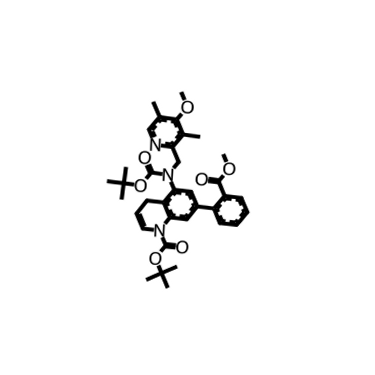 COC(=O)c1ccccc1-c1cc2c(c(N(Cc3ncc(C)c(OC)c3C)C(=O)OC(C)(C)C)c1)CC=CN2C(=O)OC(C)(C)C